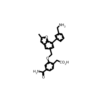 Cc1cc2cc(COc3cc(C(N)=O)ccc3CC(=O)O)cc(-c3cccc(CN)c3)c2o1